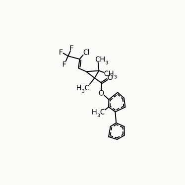 Cc1c(OC(=O)C2(C)C(C=C(Cl)C(F)(F)F)C2(C)C)cccc1-c1ccccc1